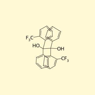 OC(c1ccccc1)(c1ccccc1C(F)(F)F)C(O)(c1ccccc1)c1ccccc1C(F)(F)F